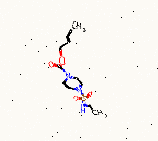 CCCCOC(=O)N1CCN(S(=O)(=O)NCC)CC1